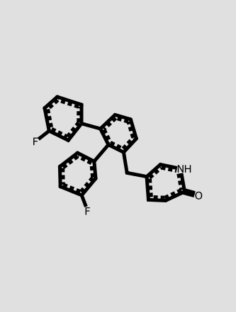 O=c1ccc(Cc2cccc(-c3cccc(F)c3)c2-c2cccc(F)c2)c[nH]1